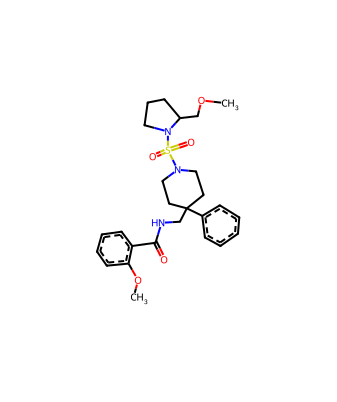 COCC1CCCN1S(=O)(=O)N1CCC(CNC(=O)c2ccccc2OC)(c2ccccc2)CC1